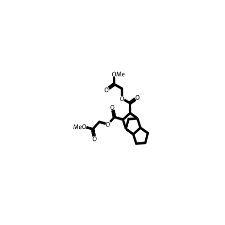 COC(=O)COC(=O)C1C2CC(C3CCCC32)C1C(=O)OCC(=O)OC